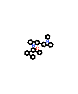 C1=Cc2c(n(-c3ccccc3)c3cc(-c4ccc5c6c(n(-c7cc(-c8ccccc8-c8ccccc8)cc8c7oc7ccccc78)c5c4)CCC=C6)ccc23)CC1